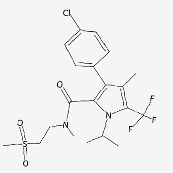 Cc1c(-c2ccc(Cl)cc2)c(C(=O)N(C)CCS(C)(=O)=O)n(C(C)C)c1C(F)(F)F